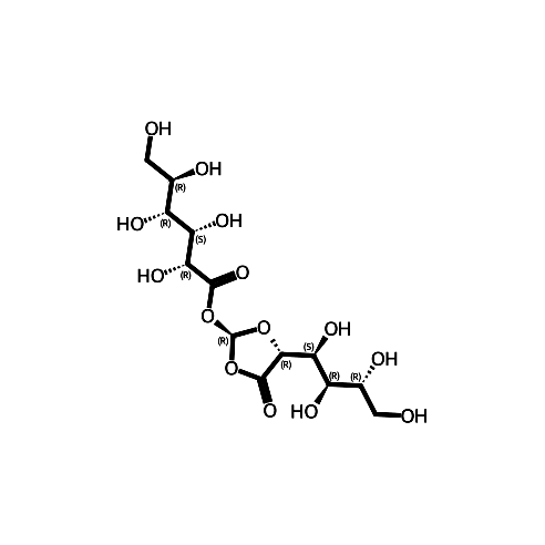 O=C(O[C@@H]1OC(=O)[C@@H]([C@@H](O)[C@H](O)[C@H](O)CO)O1)[C@H](O)[C@@H](O)[C@H](O)[C@H](O)CO